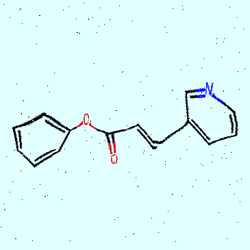 O=C(C=Cc1cccnc1)Oc1cc[c]cc1